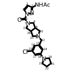 CC(=O)Nc1ccn(C(=O)N2CC3CN(Cc4cc(Cl)cc(N5CCCC5)c4)CC3C2)n1